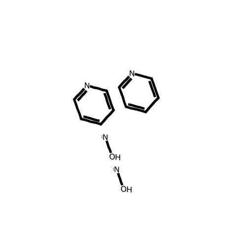 [N]O.[N]O.c1ccncc1.c1ccncc1